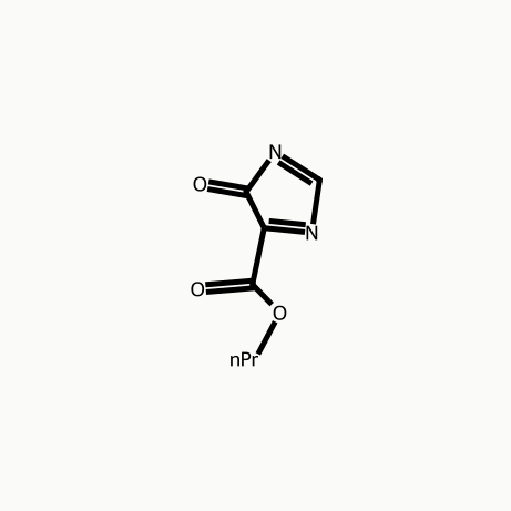 CCCOC(=O)C1=NC=NC1=O